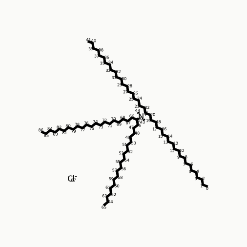 CCCCCCCCCCCCCCCCCCCCCC(CCCCCCCCCCCCCCCCCCCC)[N+](C)(C)C(CCCCCCCCCCCCCCCCCCCC)CCCCCCCCCCCCCCCCCCCCC.[Cl-]